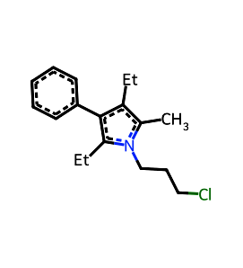 CCc1c(-c2ccccc2)c(CC)n(CCCCl)c1C